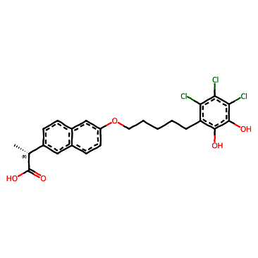 C[C@@H](C(=O)O)c1ccc2cc(OCCCCCc3c(O)c(O)c(Cl)c(Cl)c3Cl)ccc2c1